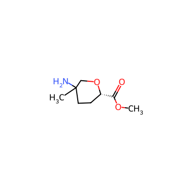 COC(=O)[C@@H]1CCC(C)(N)CO1